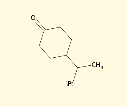 CC(C)C(C)C1CCC(=O)CC1